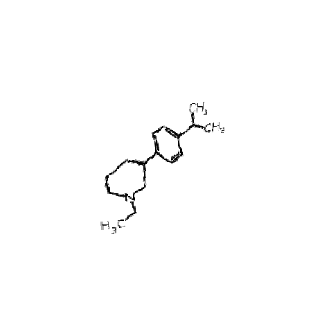 CCN1CCCC(c2ccc(C(C)C)cc2)C1